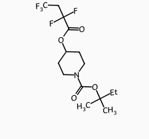 CCC(C)(C)OC(=O)N1CCC(OC(=O)C(F)(F)CC(F)(F)F)CC1